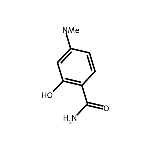 CNc1ccc(C(N)=O)c(O)c1